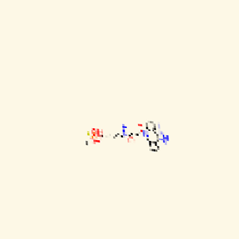 CCOP(O)(=S)OCCCCCCNC(=O)CCC(=O)N1Cc2ccccc2-c2nn[nH]c2-c2ccccc21